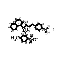 CCn1c(/C=C/c2ccc(N(C)C)cc2)[s+]c2ccc3ccccc3c21.Cc1ccc(S(=O)(=O)[O-])cc1